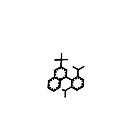 CC(C)c1cccc(C(C)C)c1-c1cc(C(C)(C)C)cc2ccccc12